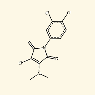 C=C1C(Cl)=C(N(C)C)C(=O)N1c1ccc(Cl)c(Cl)c1